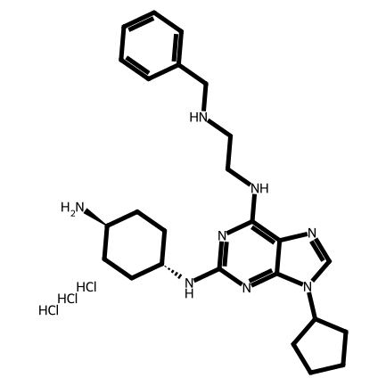 Cl.Cl.Cl.N[C@H]1CC[C@H](Nc2nc(NCCNCc3ccccc3)c3ncn(C4CCCC4)c3n2)CC1